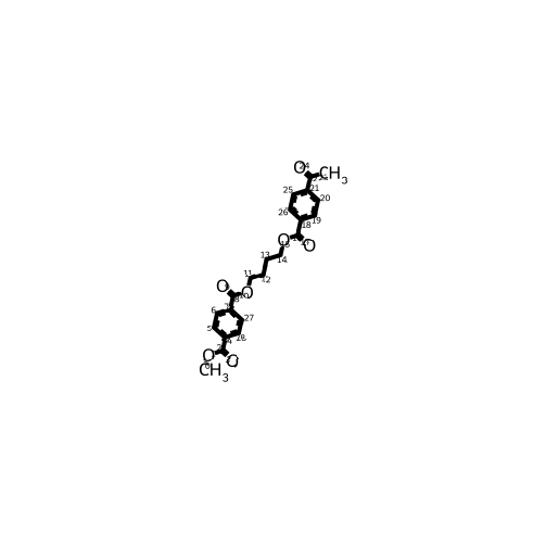 COC(=O)c1ccc(C(=O)OCCCCOC(=O)c2ccc(C(C)=O)cc2)cc1